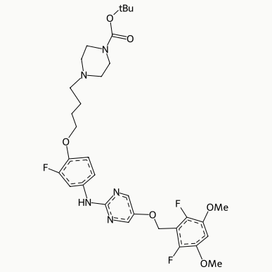 COc1cc(OC)c(F)c(COc2cnc(Nc3ccc(OCCCCN4CCN(C(=O)OC(C)(C)C)CC4)c(F)c3)nc2)c1F